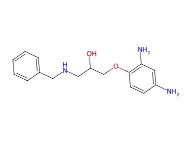 Nc1ccc(OCC(O)CNCc2ccccc2)c(N)c1